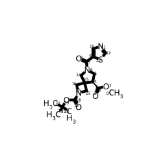 COC(=O)[C@@H]1CN(C(=O)c2cncs2)CC12CN(C(=O)OC(C)(C)C)C2